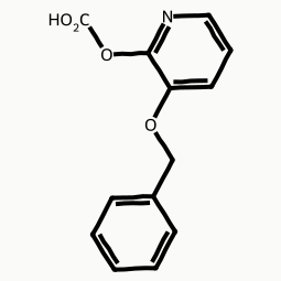 O=C(O)Oc1ncccc1OCc1ccccc1